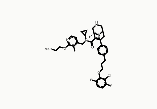 COCCOc1nccc(CN(C(=O)C2=C(c3ccc(CCCOc4c(F)ccc(F)c4Cl)cc3)CC3CNC[C@H]2N3)C2CC2)c1C